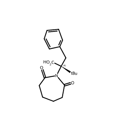 CC(C)(C)[C@](Cc1ccccc1)(C(=O)O)N1C(=O)CCCCC1=O